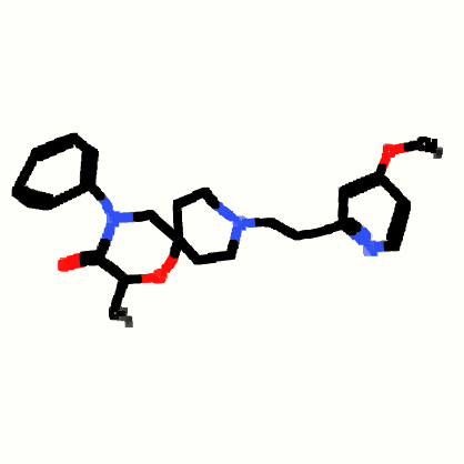 COc1ccnc(CCN2CCC3(CC2)CN(c2ccccc2)C(=O)C(C)O3)c1